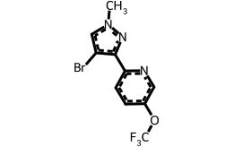 Cn1cc(Br)c(-c2ccc(OC(F)(F)F)cn2)n1